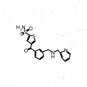 NS(=O)(=O)c1cc(C(=O)c2cccc(CNCc3ccccn3)c2)cs1